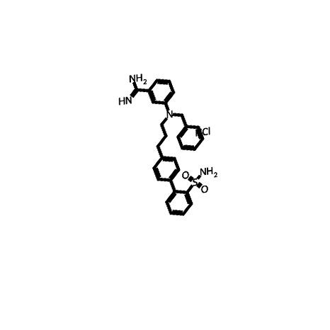 Cl.N=C(N)c1cccc(N(CCCc2ccc(-c3ccccc3S(N)(=O)=O)cc2)Cc2ccccc2)c1